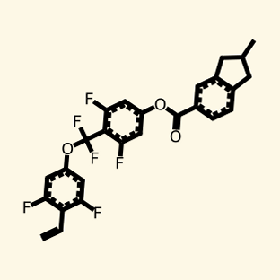 C=Cc1c(F)cc(OC(F)(F)c2c(F)cc(OC(=O)c3ccc4c(c3)CC(C)C4)cc2F)cc1F